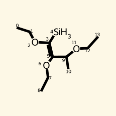 CCOC([SiH3])=C(OCC)C(C)OCC